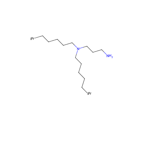 CC(C)CCCCCN(CCCN)CCCCCC(C)C